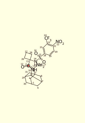 NC(=O)C12CC3CC(C1)C(NC(=O)C1(NS(=O)(=O)c4ccc([N+](=O)[O-])c(C(F)(F)F)c4)CCC1)C(C3)C2